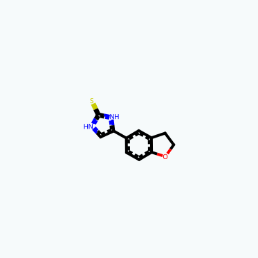 S=c1[nH]cc(-c2ccc3c(c2)CCO3)[nH]1